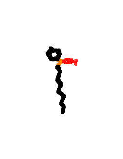 CCCCCCCCCP(O)c1ccccc1